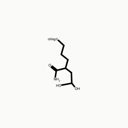 CCCCCCCCCCC(CC(O)O)C(N)=O